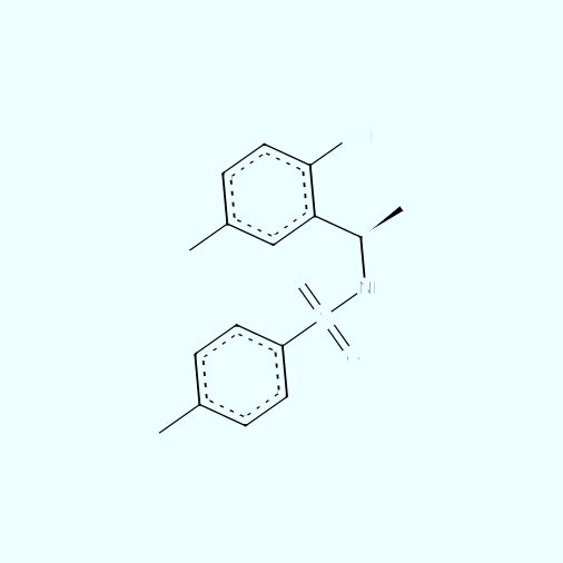 Cc1ccc(S(=O)(=O)N[C@H](C)c2cc(Cl)ccc2O)cc1